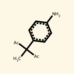 CC(=O)C(C)(C(C)=O)c1ccc(N)cc1